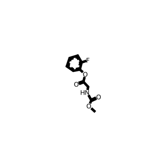 COC(=O)NCC(=O)Oc1ccccc1F